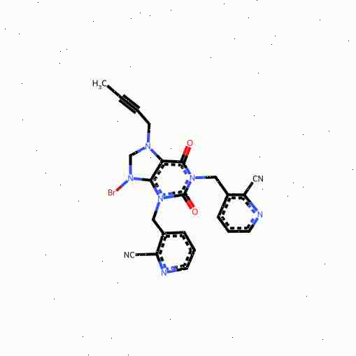 CC#CCN1CN(Br)c2c1c(=O)n(Cc1cccnc1C#N)c(=O)n2Cc1cccnc1C#N